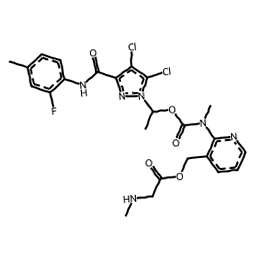 CNCC(=O)OCc1cccnc1N(C)C(=O)OC(C)n1nc(C(=O)Nc2ccc(C)cc2F)c(Cl)c1Cl